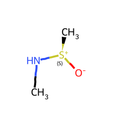 CN[S@@+](C)[O-]